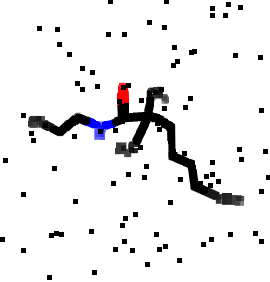 CCCCCCCCCCCCCC(C)(C)C(=O)NCCN=O